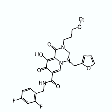 CCOCCCN1CN(Cc2ccco2)n2cc(C(=O)NCc3ccc(F)cc3F)c(=O)c(O)c2C1=O